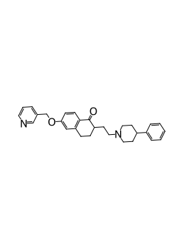 O=C1c2ccc(OCc3cccnc3)cc2CCC1CCN1CCC(c2ccccc2)CC1